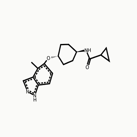 Cc1c(O[C@H]2CC[C@H](NC(=O)C3CC3)CC2)ccc2[nH]ncc12